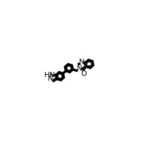 O=c1c2ccccc2ncn1Cc1cccc(-c2ccc3cn[nH]c3c2)c1